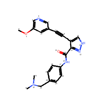 COc1cncc(C#Cc2c[nH]nc2C(=O)Nc2ccc(CN(C)C)cc2)c1